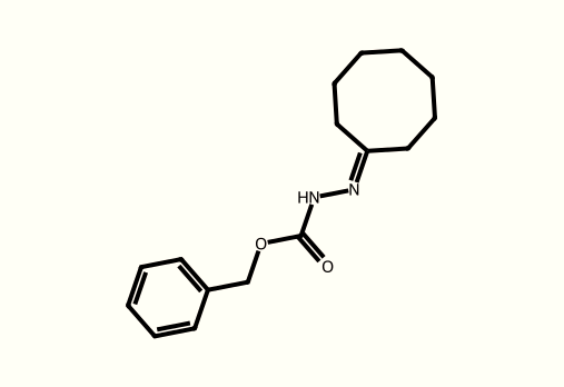 O=C(NN=C1CCCCCCC1)OCc1ccccc1